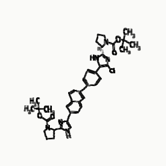 CC(C)(C)OC(=O)N1CCCC1c1nc(-c2ccc3cc(-c4ccc(-c5[nH]c([C@@H]6CCCN6C(=O)OC(C)(C)C)nc5Cl)cc4)ccc3c2)c[nH]1